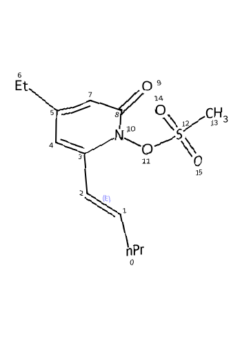 CCC/C=C/c1cc(CC)cc(=O)n1OS(C)(=O)=O